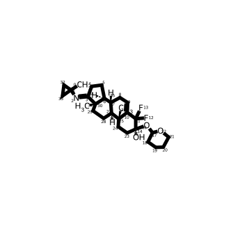 CC1(N=C2CC[C@H]3[C@@H]4CC=C5C(F)(F)[C@@](O)(OC6CCCCO6)CC[C@]5(C)[C@H]4CC[C@]23C)CC1